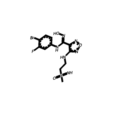 CS(=N)(=O)CCNc1nonc1/C(=N/O)Nc1ccc(Br)c(F)c1